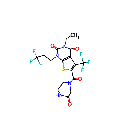 CCn1c(=O)c2c(C(F)(F)F)c(C(=O)N3CCNC(=O)C3)sc2n(CCC(F)(F)F)c1=O